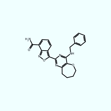 NC(=O)c1cccc2c(-c3nc4c(c(NCc5ccccc5)n3)OCCCC4)onc12